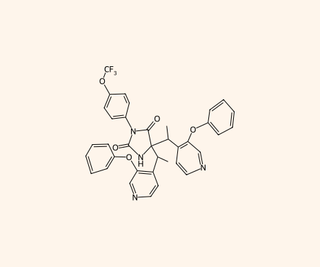 CC(c1ccncc1Oc1ccccc1)C1(C(C)c2ccncc2Oc2ccccc2)NC(=O)N(c2ccc(OC(F)(F)F)cc2)C1=O